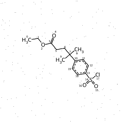 CCOC(=O)CCC(C)(C)c1ccc(S(=O)(=O)Cl)cc1